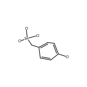 Clc1ccc([CH2][Sn]([Cl])([Cl])[Cl])cc1